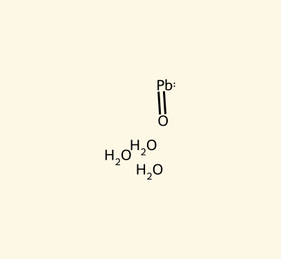 O.O.O.[O]=[Pb]